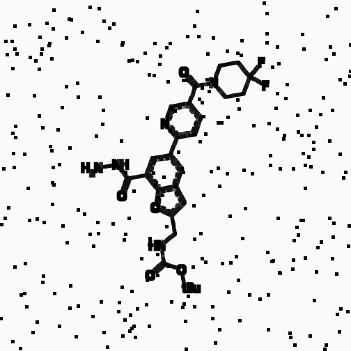 CC(C)(C)OC(=O)NCc1cc2cc(-c3ccc(C(=O)N4CCC(F)(F)CC4)cn3)cc(C(=O)NN)c2o1